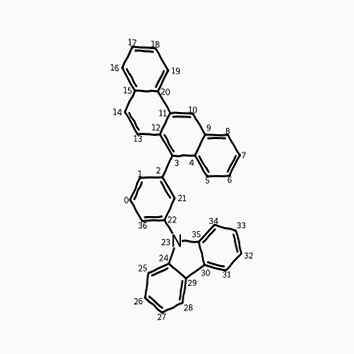 c1cc(-c2c3ccccc3cc3c2ccc2ccccc23)cc(-n2c3ccccc3c3ccccc32)c1